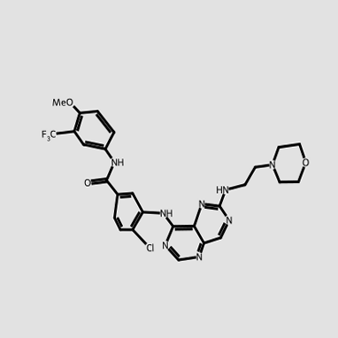 COc1ccc(NC(=O)c2ccc(Cl)c(Nc3ncnc4cnc(NCCN5CCOCC5)nc34)c2)cc1C(F)(F)F